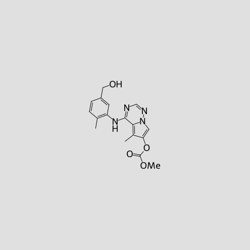 COC(=O)Oc1cn2ncnc(Nc3cc(CO)ccc3C)c2c1C